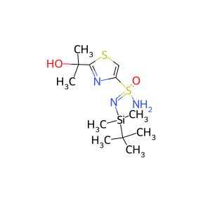 CC(C)(O)c1nc(S(N)(=O)=N[Si](C)(C)C(C)(C)C)cs1